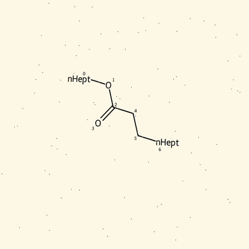 [CH2]CCCCCCOC(=O)CCCCCCCCC